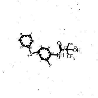 Cc1cc(Sc2ccccc2)ccc1NC(=O)C(C)(O)C(F)(F)F